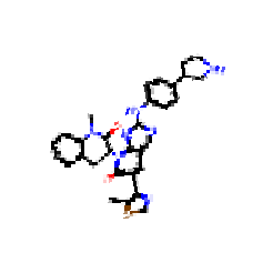 Cc1scnc1-c1cc2cnc(Nc3ccc(C4CCNC4)cc3)nc2n(C2Cc3ccccc3N(C)C2=O)c1=O